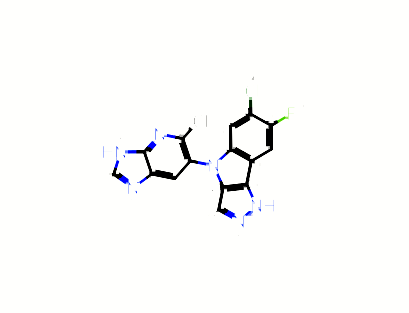 Cc1nc2[nH]cnc2cc1-n1c2cc(Cl)c(F)cc2c2[nH]ncc21